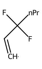 [CH]=CC(F)(F)CCC